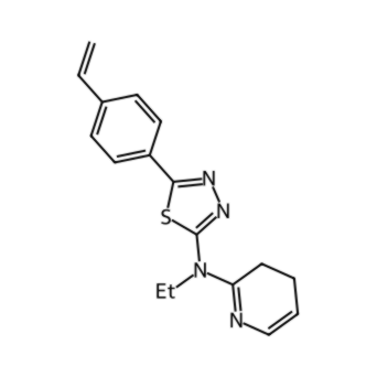 C=Cc1ccc(-c2nnc(N(CC)C3=NC=CCC3)s2)cc1